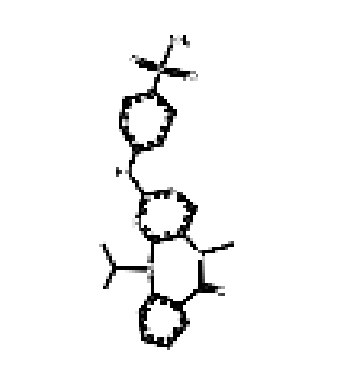 CC(C)N1c2ccccc2C(=O)N(C)c2cnc(Nc3ccc(S(N)(=O)=O)cc3)nc21